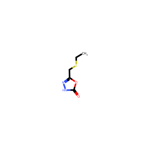 CCSCc1n[nH]c(=O)o1